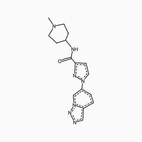 CN1CCC(NC(=O)c2ccn(-c3ccc4cnnn4c3)n2)CC1